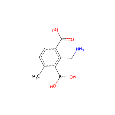 Cc1ccc(C(=O)O)c(CN)c1B(O)O